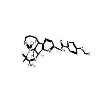 CC1(C)C(N)=N[C@](C)(c2nc(NC(=O)c3ccc(OCF)cn3)ccc2F)[C@H]2CCCCN=[S@]21=O